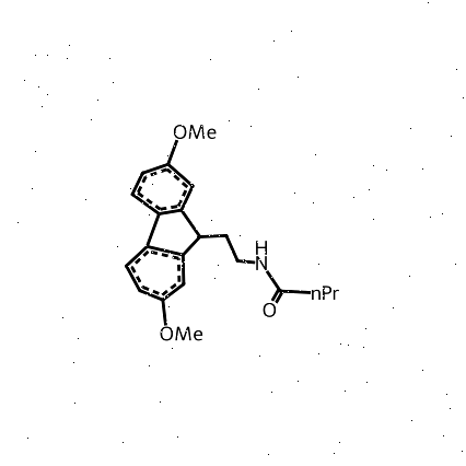 CCCC(=O)NCCC1c2cc(OC)ccc2-c2ccc(OC)cc21